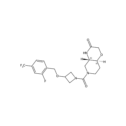 O=C1CO[C@H]2CCN(C(=O)N3CC(OCc4ccc(C(F)(F)F)cc4F)C3)C[C@@H]2N1